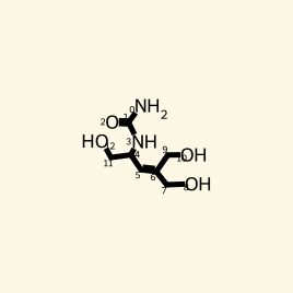 NC(=O)NC(C=C(CO)CO)CO